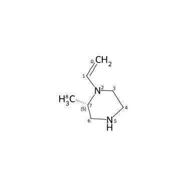 C=CN1CCNC[C@@H]1C